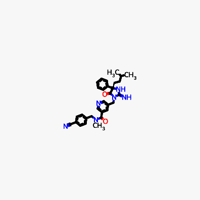 CC(C)CC[C@@]1(c2ccccc2)NC(=N)N(Cc2cncc(C(=O)N(C)Cc3ccc(C#N)cc3)c2)C1=O